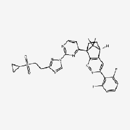 CC1(C)[C@H]2CC[C@@]1(c1ccnc(-n3cnc(CCS(=O)(=O)C4CC4)n3)n1)c1nnc(-c3c(F)cccc3F)cc12